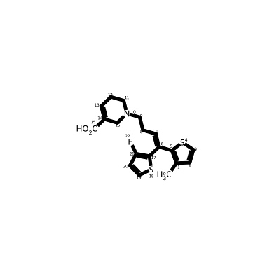 Cc1ccsc1C(=CCCN1CCC=C(C(=O)O)C1)c1sccc1F